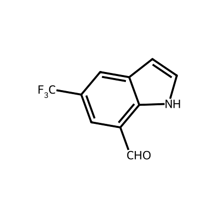 O=Cc1cc(C(F)(F)F)cc2cc[nH]c12